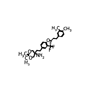 Cc1ccc(CCCOc2ccc(CCC3(N)COC(C)(C)OC3)cc2C(F)(F)F)cc1C